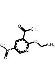 CCOc1ncc([N+](=O)[O-])cc1C(C)=O